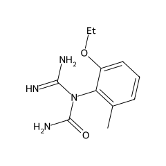 CCOc1cccc(C)c1N(C(=N)N)C(N)=O